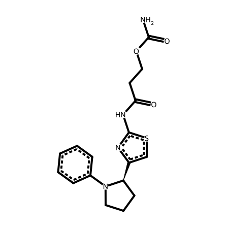 NC(=O)OCCC(=O)Nc1nc([C@H]2CCCN2c2ccccc2)cs1